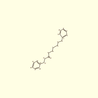 c1ccc(CCCCCC[N]CCc2ccccc2)cc1